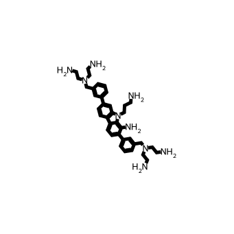 NCCCn1c2cc(-c3cccc(CN(CCN)CCN)c3)ccc2c2ccc(-c3cccc(CN(CCN)CCN)c3)c(N)c21